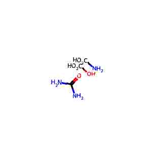 NC(=O)O.NC(N)=O.O=C(O)O